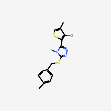 CCn1c(SCc2ccc(C)cc2)nnc1-c1scc(C)c1Cl